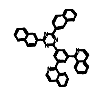 c1ccc2cc(-c3nc(-c4cc(-c5nccc6ccccc56)cc(-c5nccc6ccccc56)c4)nc(-c4ccc5ccccc5c4)n3)ccc2c1